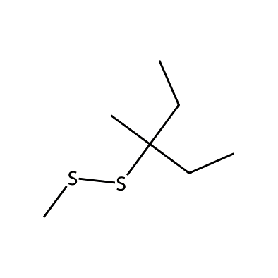 CCC(C)(CC)SSC